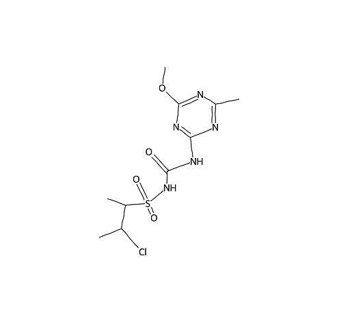 COc1nc(C)nc(NC(=O)NS(=O)(=O)C(C)C(C)Cl)n1